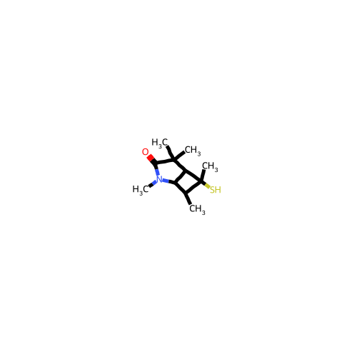 CC1C2C(C(C)(C)C(=O)N2C)C1(C)S